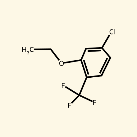 CCOc1cc(Cl)ccc1C(F)(F)F